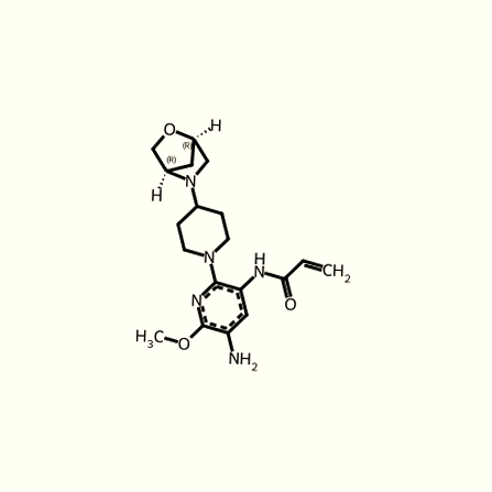 C=CC(=O)Nc1cc(N)c(OC)nc1N1CCC(N2C[C@H]3C[C@@H]2CO3)CC1